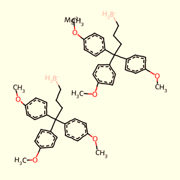 [BH3-]CCCC(c1ccc(OC)cc1)(c1ccc(OC)cc1)c1ccc(OC)cc1.[BH3-]CCCC(c1ccc(OC)cc1)(c1ccc(OC)cc1)c1ccc(OC)cc1.[Mg+2]